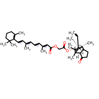 C=C[C@@]1(C)C[C@H](C)C23CCC(=O)[C@H]2C(C)(C(C)CC3)[C@H](OC(=O)COC(=O)/C=C(C)/C=C/C=C(C)/C=C/C2=C(C)CCCC2(C)C)C1